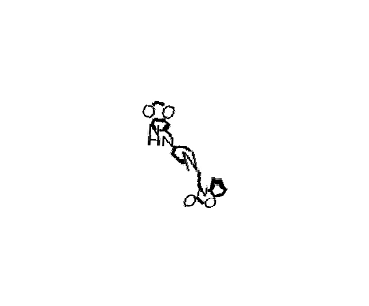 O=C1COc2ccccc2N1CCN1CCC(NCc2cc3c(cn2)OCCO3)CC1